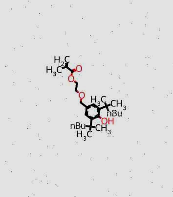 C=C(C)C(=O)OCCOCc1cc(C(C)(C)CCCC)c(O)c(C(C)(C)CCCC)c1